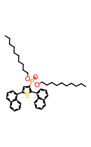 CCCCCCCCCCOP(=O)(OCCCCCCCCCC)c1cc(-c2cccc3ccccc23)sc1-c1cccc2ccccc12